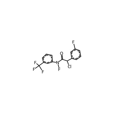 O=C(C(Cl)c1cccc(F)c1)N(F)c1cccc(C(F)(F)F)c1